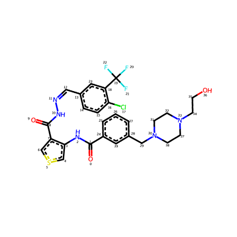 O=C(Nc1cscc1C(=O)N/N=C\c1ccc(Cl)c(C(F)(F)F)c1)c1cccc(CN2CCN(CCO)CC2)c1